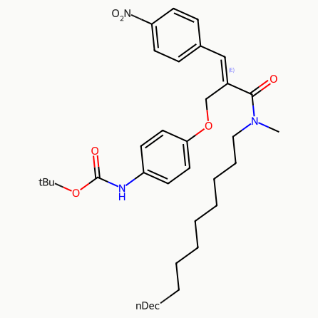 CCCCCCCCCCCCCCCCCCN(C)C(=O)/C(=C/c1ccc([N+](=O)[O-])cc1)COc1ccc(NC(=O)OC(C)(C)C)cc1